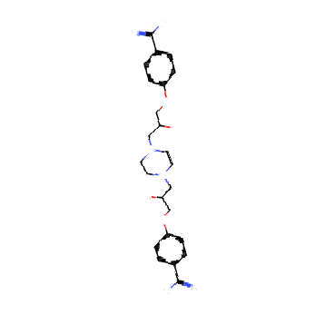 N=C(N)c1ccc(OCC(O)CN2CCN(CC(O)COc3ccc(C(=N)N)cc3)CC2)cc1